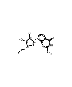 COC[C@H]1O[C@@H](n2cnc3c(=O)[nH]c(N)nc32)[C@H](O)[C@@H]1O